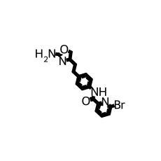 NC1=NC(CCc2ccc(NC(=O)c3cccc(Br)n3)cc2)CO1